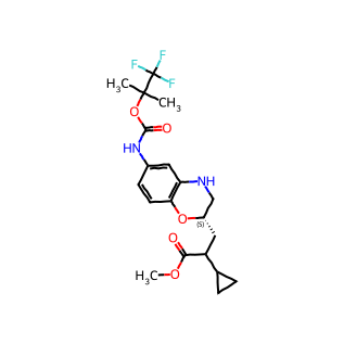 COC(=O)C(C[C@H]1CNc2cc(NC(=O)OC(C)(C)C(F)(F)F)ccc2O1)C1CC1